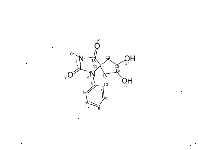 CN1C(=O)N(c2ccccc2)C(CCO)(CCO)C1=O